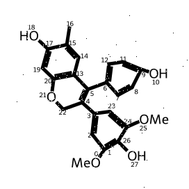 COc1cc(C2=C(c3ccc(O)cc3)c3cc(C)c(O)cc3OC2)cc(OC)c1O